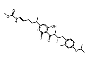 COC(=O)N/C=C/CCC(C)c1cc(O)c(C(=O)C(C)[C@@H](C)Cc2ccc(OC(C)C)cc2C)c(=O)o1